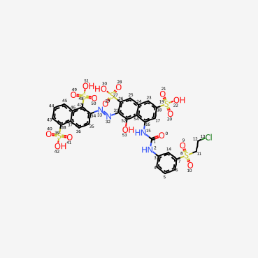 O=C(Nc1cccc(S(=O)(=O)CCCl)c1)Nc1cc(S(=O)(=O)O)cc2cc(S(=O)(=O)O)c(/N=N/c3ccc4c(S(=O)(=O)O)cccc4c3S(=O)(=O)O)c(O)c12